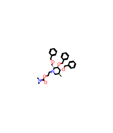 C[C@H]1CN(CCOC(=O)N(C)C)[C@H](COCc2ccccc2)[C@@H](OCc2ccccc2)[C@@H]1OCc1ccccc1